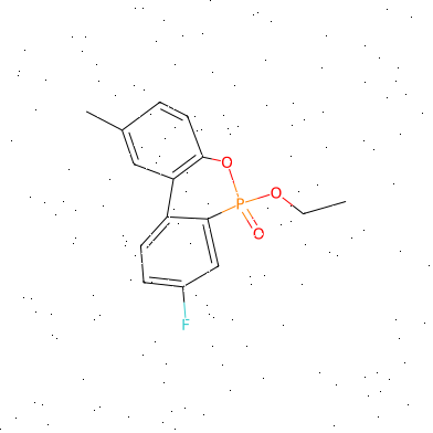 CCOP1(=O)Oc2ccc(C)cc2-c2ccc(F)cc21